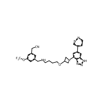 N#CCc1cc(CNCCCCOC2CN(c3cc(-c4ccnnc4)cc4[nH]nnc34)C2)cc(OC(F)(F)F)c1